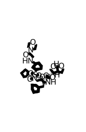 O=C(N[C@@H](Cc1ccccc1)[C@H](O)CN(OC1CCCC1)S(=O)(=O)c1cccc(NCC(=O)N2CCOCC2)c1)O[C@H]1CO[C@H]2OCC[C@H]21